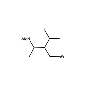 CNC(C)C(CC(C)C)C(C)I